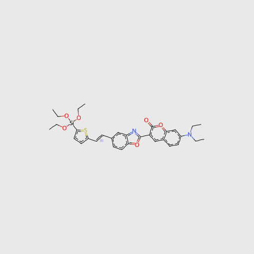 CCO[Si](OCC)(OCC)c1ccc(/C=C/c2ccc3oc(-c4cc5ccc(N(CC)CC)cc5oc4=O)nc3c2)s1